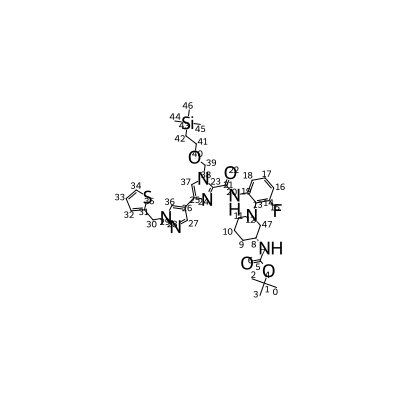 CC(C)(C)OC(=O)N[C@@H]1CCCN(c2c(F)cccc2NC(=O)c2nc(-c3cnn(Cc4cccs4)c3)cn2COCC[Si](C)(C)C)C1